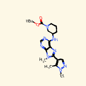 CCCCOC(=O)N1CCCC(Nc2ncnc3c2nc(-c2cnn(CC)c2C)n3C)C1